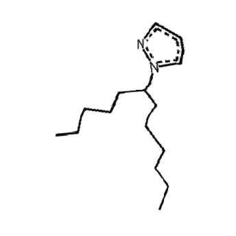 CCCCCCC(CCCCC)n1cccn1